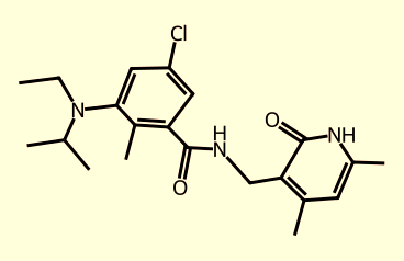 CCN(c1cc(Cl)cc(C(=O)NCc2c(C)cc(C)[nH]c2=O)c1C)C(C)C